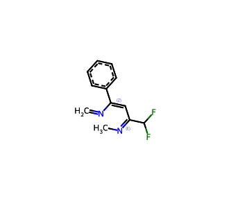 C=N/C(=C\C(=N/C)C(F)F)c1ccccc1